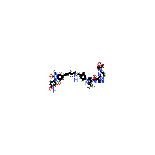 Cn1c(=O)n(C2CCC(=O)NC2=O)c2ccc(C#CCCCNCC3CCC(n4cc(NC(=O)c5cnn6ccc(N7CC8CC7CO8)nc56)c(C(F)F)n4)CC3)cc21